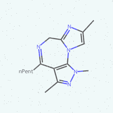 CCCCCC1=NCc2nc(C)cn2-c2c1c(C)nn2C